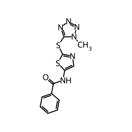 Cn1nnnc1Sc1ncc(NC(=O)c2ccccc2)s1